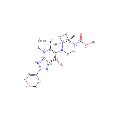 CCOC(=O)Cn1c(CC)c(N2CCN(C(=O)OC(C)(C)C)[C@H]3CC[C@@H]32)c(=O)c2nn(C3=CCOCC3)nc21